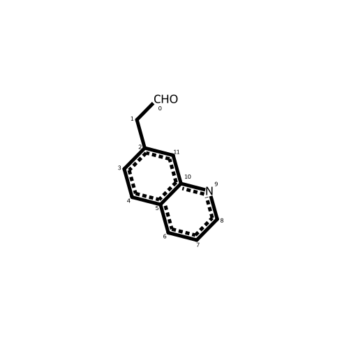 O=CCc1ccc2cccnc2c1